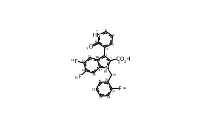 O=C(O)c1c(-c2ccc[nH]c2=O)c2cc(F)c(F)cc2n1Cc1ccccc1F